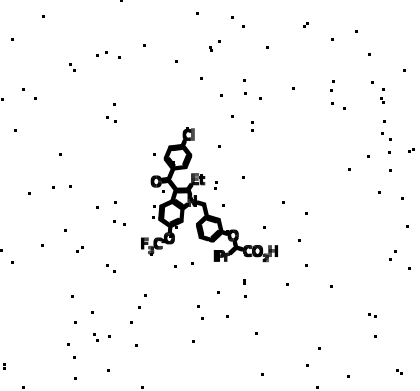 CCc1c(C(=O)c2ccc(Cl)cc2)c2ccc(OC(F)(F)F)cc2n1Cc1cccc(OC(C(=O)O)C(C)C)c1